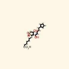 O=C(O)CCCCCC[C@H]1[C@@H](/C(O)=C\CCCC2CCCC2)[C@@H](O)CS1(=O)=O